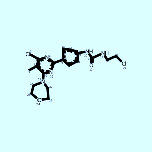 Cc1c(Cl)nc(-c2ccc(NC(=O)NCCCl)cc2)nc1N1CCOCC1